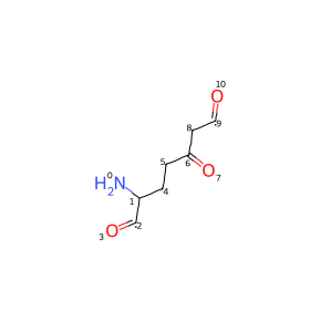 NC([C]=O)CCC(=O)C[C]=O